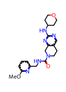 COc1cccc(CNC(=O)N2CCc3cnc(NC4CCOCC4)nc3C2)n1